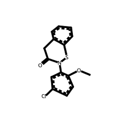 COc1ccc(Cl)cc1N1Sc2ccccc2CC1=O